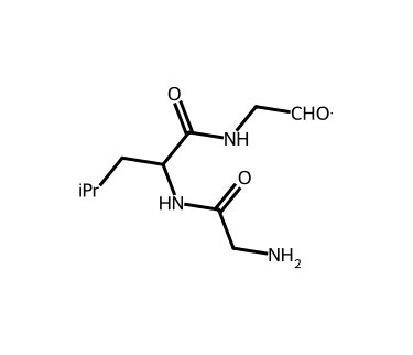 CC(C)CC(NC(=O)CN)C(=O)NC[C]=O